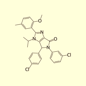 COc1ccc(C)cc1-c1nc2c(n1C(C)C)C(c1ccc(Cl)cc1)N(c1cccc(Cl)c1)C2=O